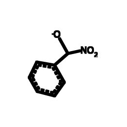 [O]C(c1ccccc1)[N+](=O)[O-]